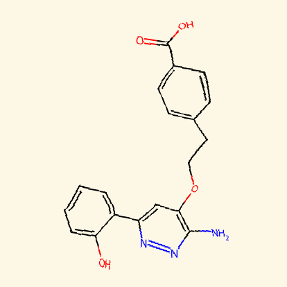 Nc1nnc(-c2ccccc2O)cc1OCCc1ccc(C(=O)O)cc1